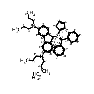 CCCN(CCC)c1ccc2c(c1)-c1cc(N(CCC)CCC)ccc1[CH]2[Zr]([C]1=CC=CC1)=[C](c1ccccc1)c1ccccc1.Cl.Cl